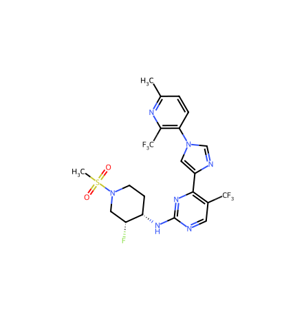 Cc1ccc(-n2cnc(-c3nc(N[C@H]4CCN(S(C)(=O)=O)C[C@H]4F)ncc3C(F)(F)F)c2)c(C(F)(F)F)n1